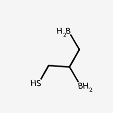 BCC(B)CS